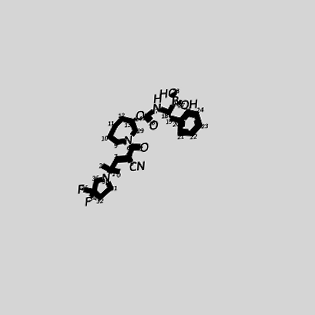 CC(C)(C=C(C#N)C(=O)N1CCCC[C@@H](OC(=O)N[C@@H](Cc2ccccc2)B(O)O)C1)N1CCC(F)(F)C1